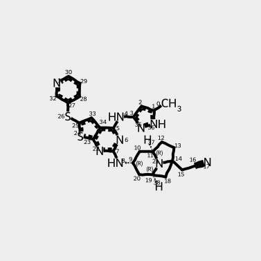 Cc1cc(Nc2nc(N[C@@H]3C[C@H]4CCC5(CC#N)C[C@@H](C3)N45)nc3sc(Sc4cccnc4)cc23)n[nH]1